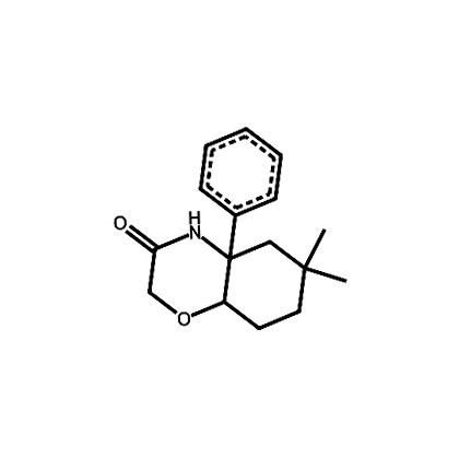 CC1(C)CCC2OCC(=O)NC2(c2ccccc2)C1